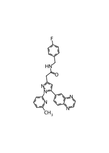 Cc1cccc(-n2nc(CC(=O)NCc3ccc(F)cc3)cc2-c2ccc3nccnc3c2)n1